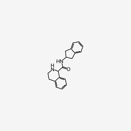 O=C(NC1Cc2ccccc2C1)C1NCCc2ccccc21